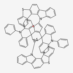 c1ccc(N2c3ccccc3C3(c4ccccc42)c2cc(-n4c5ccccc5c5ccc6sc7ccccc7c6c54)sc2C2(c4ccccc4N(c4ccccc4)c4ccccc42)c2cc(-n4c5ccccc5c5ccc6sc7ccccc7c6c54)sc23)cc1